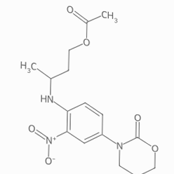 CC(=O)OCCC(C)Nc1ccc(N2CCCOC2=O)cc1[N+](=O)[O-]